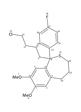 COc1cc2c(cc1OC)C(CCCCCl)(c1ccc(F)cc1)SCCC2